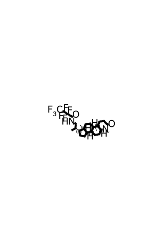 CC(CNC(=O)C(F)(F)C(F)(F)C(F)(F)F)[C@H]1CC[C@H]2[C@@H]3CC[C@H]4N(C)C(=O)CC[C@]4(C)[C@H]3CC[C@]12C